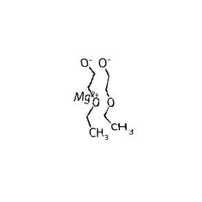 CCOCC[O-].CCOCC[O-].[Mg+2]